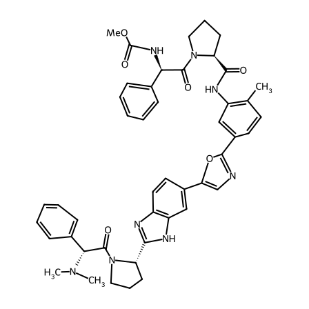 COC(=O)N[C@@H](C(=O)N1CCC[C@H]1C(=O)Nc1cc(-c2ncc(-c3ccc4nc([C@@H]5CCCN5C(=O)[C@@H](c5ccccc5)N(C)C)[nH]c4c3)o2)ccc1C)c1ccccc1